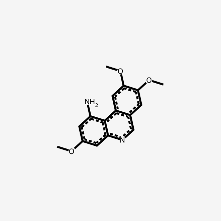 COc1cc(N)c2c(c1)ncc1cc(OC)c(OC)cc12